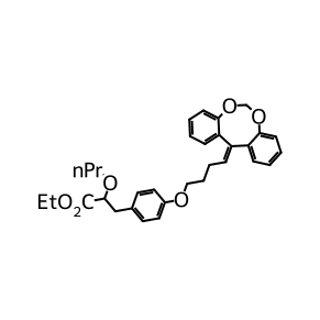 CCCOC(Cc1ccc(OCCCC=C2c3ccccc3OCOc3ccccc32)cc1)C(=O)OCC